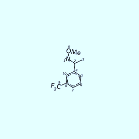 CO[N]C(C)c1cccc(C(F)(F)F)c1